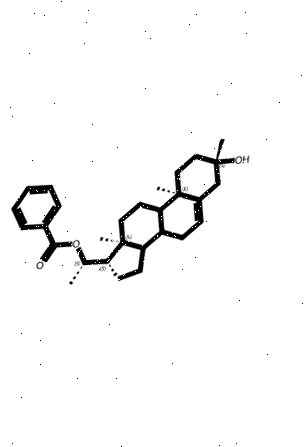 C[C@H](OC(=O)c1ccccc1)[C@H]1CCC2C3CC=C4C[C@@](C)(O)CC[C@]4(C)C3CC[C@@]21C